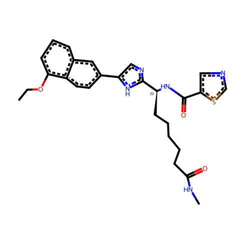 CCOc1cccc2cc(-c3cnc([C@H](CCCCCC(=O)NC)NC(=O)c4cncs4)[nH]3)ccc12